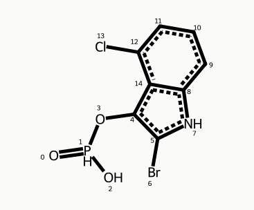 O=[PH](O)Oc1c(Br)[nH]c2cccc(Cl)c12